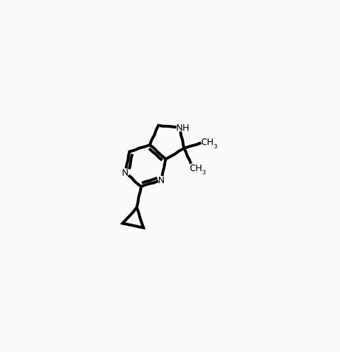 CC1(C)NCc2cnc(C3CC3)nc21